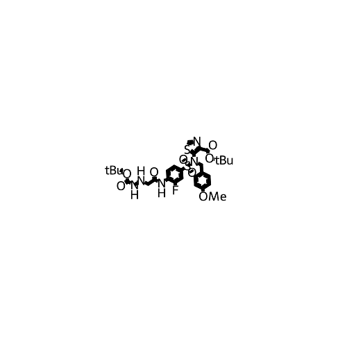 COc1ccc(CN(c2scnc2C(=O)OC(C)(C)C)S(=O)(=O)c2ccc(NC(=O)CNNC(=O)OC(C)(C)C)c(F)c2)cc1